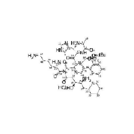 CC(N)C(=O)N[C@@H](Cc1c[nH]cn1)C(=O)c1c(C(=O)N(C(=O)C[C@H](O)[C@@H](N)CC2CCCCC2)C(=O)[C@@H](N)CCCCN)ncc(-c2ccccc2C(=O)OC(C)(C)C)c1CN.Cl